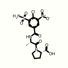 C[C@H](NC(=O)c1cc([N+](=O)[O-])c(Cl)c(S(N)(=O)=O)c1)C(=O)N1CCC[C@H]1C(=O)O